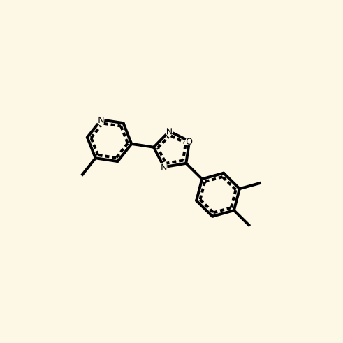 Cc1cncc(-c2noc(-c3ccc(C)c(C)c3)n2)c1